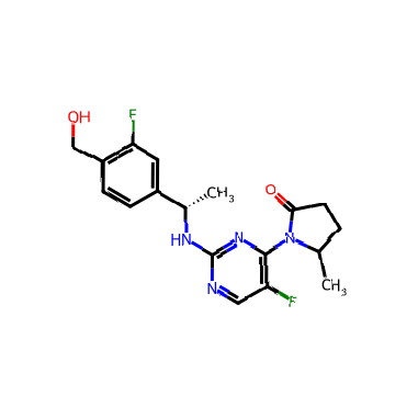 CC1CCC(=O)N1c1nc(N[C@@H](C)c2ccc(CO)c(F)c2)ncc1F